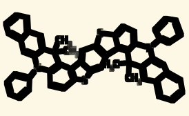 CC1(C)c2cc3ccccc3cc2N(c2ccccc2)c2ccc3sc4cc5c(cc4c3c21)sc1ccc2c(c15)C(C)(C)c1cc3ccccc3cc1N2c1ccccc1